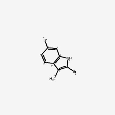 Cc1c(Br)[nH]c2cc(Br)ccc12